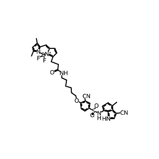 Cc1cc(C)n2c1C=C1C=CC(CCC(=O)NCCCCCCOc3ccc(S(=O)(=O)Nc4ccc(C)c5c(C#N)c[nH]c45)cc3C#N)=[N+]1[B-]2(F)F